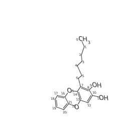 CCCCCCCc1c(O)c(O)cc2c1Oc1ccccc1O2